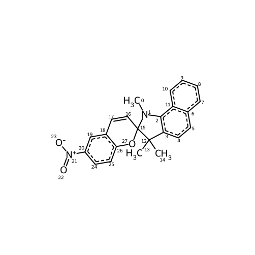 CN1c2c(ccc3ccccc23)C(C)(C)C12C=Cc1cc([N+](=O)[O-])ccc1O2